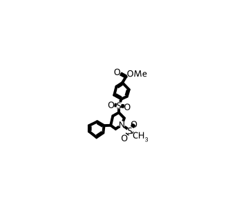 COC(=O)c1ccc(S(=O)(=O)C2CC(c3ccccc3)CN(S(C)(=O)=O)C2)cc1